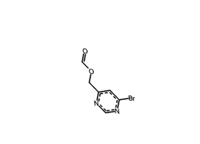 O=COCc1cc(Br)ncn1